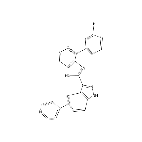 Fc1cccc(-c2nccc3[nH]c(-c4n[nH]c5ccc(-c6ccncc6)cc45)nc23)c1